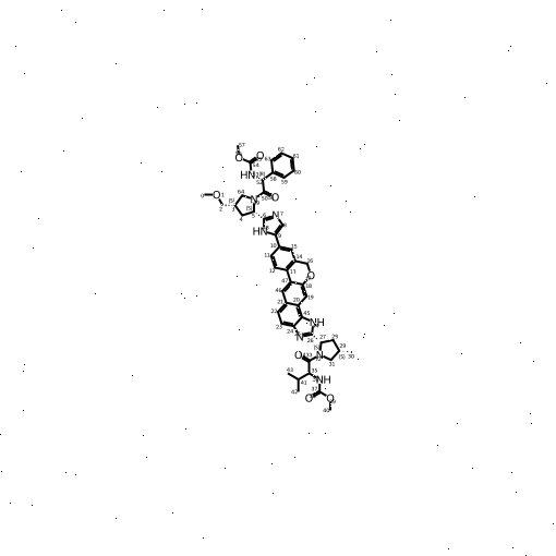 COC[C@H]1C[C@@H](c2ncc(-c3ccc4c(c3)COc3cc5c(ccc6nc([C@@H]7C[C@H](C)CN7C(=O)C(NC(=O)OC)C(C)C)[nH]c65)cc3-4)[nH]2)N(C(=O)[C@H](NC(=O)OC)c2ccccc2)C1